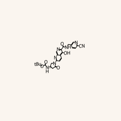 CC(C)(C)OC(=O)N[C@H]1CC(=O)N(c2ccc3c(O)c(C(=O)NCc4ccc(C#N)nc4)ncc3n2)C1